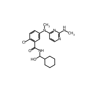 CNc1nccc(N(C)c2ccc(Cl)c(C(=O)NC(O)C3CCCCC3)c2)n1